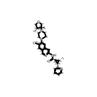 C[C@H]1[C@@H](C(=O)Nc2cc3cc(N4CCN([C@@]5(C)COC[C@H]5F)CC4)c(Cl)cc3cn2)[C@@H]1c1ccccn1